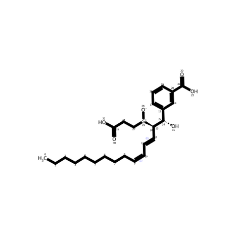 CCCCCCCCC/C=C\C=C\[C@H]([C@@H](O)c1cccc(C(=O)O)c1)[S+]([O-])CCC(=O)O